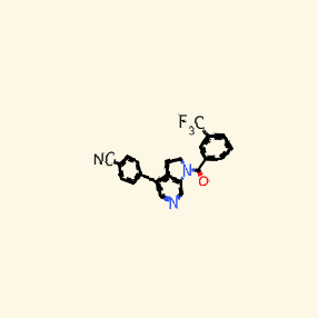 N#Cc1ccc(-c2cncc3c2CCN3C(=O)c2cccc(C(F)(F)F)c2)cc1